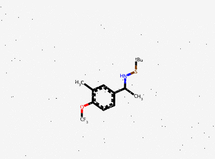 Cc1cc(C(C)NSC(C)(C)C)ccc1OC(F)(F)F